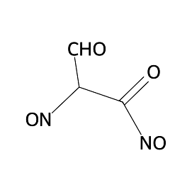 O=CC(N=O)C(=O)N=O